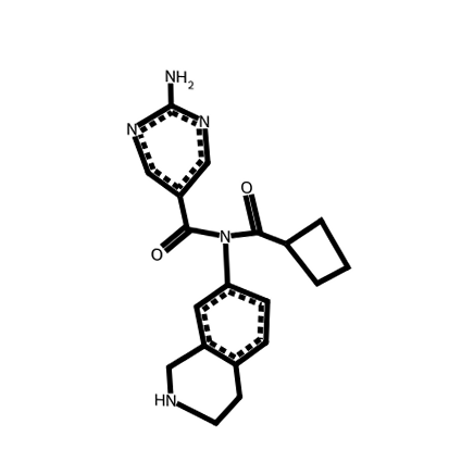 Nc1ncc(C(=O)N(C(=O)C2CCC2)c2ccc3c(c2)CNCC3)cn1